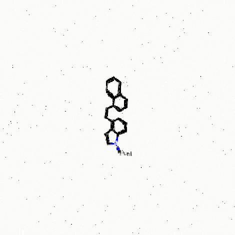 CCCC(C)n1ccc2c(/C=C\c3cccc4ccccc34)cccc21